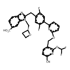 N#Cc1ccc(COc2cccc(-c3cc(F)c(Cc4nc5ccc(C(=O)O)cc5n4C[C@@H]4CCO4)cc3F)n2)c(OC(F)F)n1